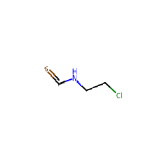 S=[C]NCCCl